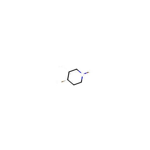 O[C@@H]1CN(Br)CC[C@H]1Br